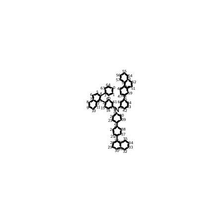 c1ccc(-c2ccc3ccccc3c2-c2ccc(N(c3ccc(-c4ccc(-c5cccc6ccccc56)cc4)cc3)c3cccc(-c4ccc5c(ccc6ccccc65)c4)c3)cc2)cc1